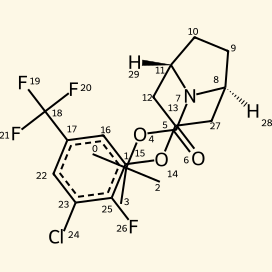 CC(C)(C)OC(=O)N1[C@H]2CC[C@H]1CC(Oc1cc(C(F)(F)F)cc(Cl)c1F)C2